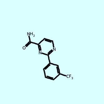 NC(=O)c1ccnc(-c2cccc(C(F)(F)F)c2)n1